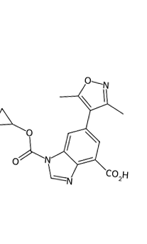 Cc1noc(C)c1-c1cc(C(=O)O)c2ncn(C(=O)OC3CC3)c2c1